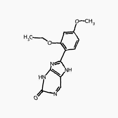 CCOc1cc(OC)ccc1-c1nc2[nH]c(=O)ncc2[nH]1